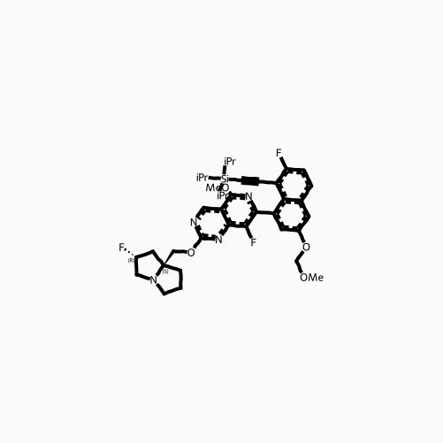 COCOc1cc(-c2nc(OC)c3cnc(OC[C@@]45CCCN4C[C@H](F)C5)nc3c2F)c2c(C#C[Si](C(C)C)(C(C)C)C(C)C)c(F)ccc2c1